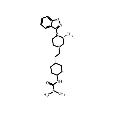 C[C@@H]1CN(CC[C@H]2CC[C@H](NC(=O)N(C)C)CC2)CCN1c1nsc2ccccc12